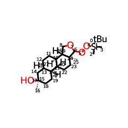 CC(C)(C)[Si](C)(C)OO[C@@H]1OC[C@H]2[C@@H]3CC[C@@H]4C[C@](C)(O)CC[C@@H]4[C@H]3CC[C@]12C